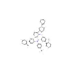 Cc1cc2c3c4c1c1cc5c(cc1n4-c1cc4c(cc1B3N(c1ccc(C(C)(C)C)cc1)c1cc3c(cc1-2)-c1ccccc1C3(C)C)-c1ccccc1C4(C)C)oc1ccccc15